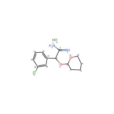 Cl.N=C(N)C(OC1CCCCO1)c1cccc(Cl)c1